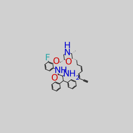 C#C/C=C\C=C/CC[C@@H]1O[C@H](COc2c(F)cccc2NC(=O)[C@@H](N)C(c2ccccc2)c2ccccc2)CN[C@@H]1C